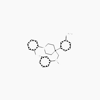 CCN(CC1(c2cccc(OC)c2)CCN(c2ccccc2OC)CC1)c1ccccc1